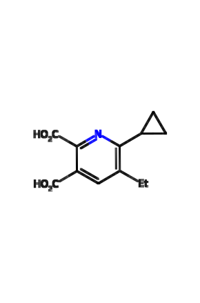 CCc1cc(C(=O)O)c(C(=O)O)nc1C1CC1